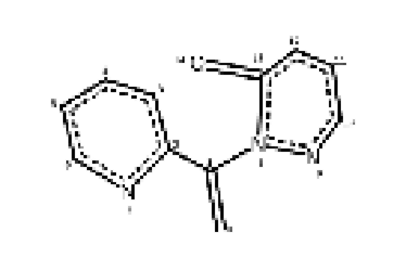 C=C(c1ccccn1)n1ncccc1=O